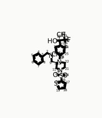 CN(Cc1ccccc1)C[C@@H]1CN(S(=O)(=O)c2cccs2)CCN1c1ccc([C@@](C)(O)C(F)(F)F)cc1